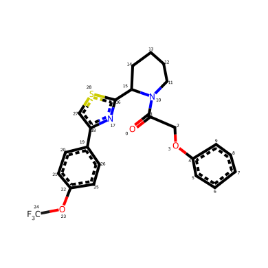 O=C(COc1ccccc1)N1CCCCC1c1nc(-c2ccc(OC(F)(F)F)cc2)cs1